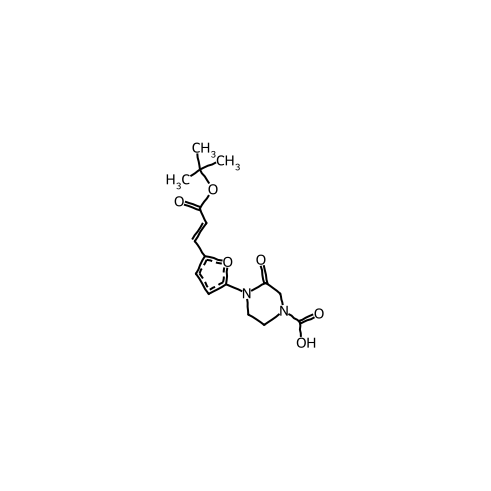 CC(C)(C)OC(=O)C=Cc1ccc(N2CCN(C(=O)O)CC2=O)o1